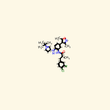 Cc1noc(C)c1-c1ccc(N[C@@H]2CCN(C(C)(C)C)C2)c(NC(=O)[C@H](C)Cc2ccc(Cl)c(F)c2)c1